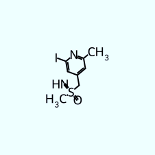 Cc1cc(CS(C)(=N)=O)cc(I)n1